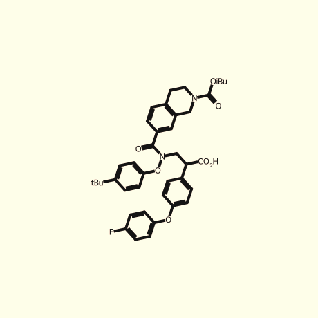 CC(C)COC(=O)N1CCc2ccc(C(=O)N(CC(C(=O)O)c3ccc(Oc4ccc(F)cc4)cc3)Oc3ccc(C(C)(C)C)cc3)cc2C1